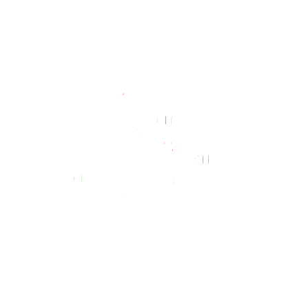 CS(=O)(=O)C1(S(C)(=O)=O)CCSc2c(Cl)cc(C=O)cc21